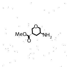 COC(=O)[C@@H]1COC[C@@H](N)C1